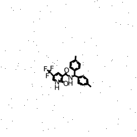 Cc1ccc(C(NC(=O)c2cc(C(F)(F)F)c[nH]c2=O)c2ccc(C)cc2)cc1